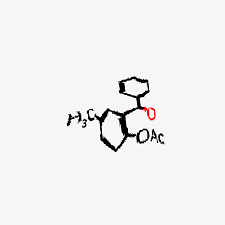 CC(=O)Oc1ccc(C)cc1C(=O)c1ccccc1